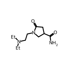 CCN(CC)CCN1CC(C(N)=O)CC1=O